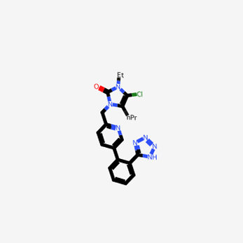 CCCc1c(Cl)n(CC)c(=O)n1Cc1ccc(-c2ccccc2-c2nnn[nH]2)cn1